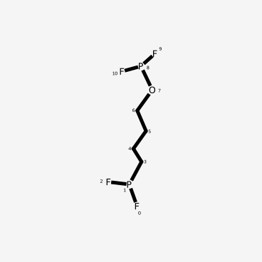 FP(F)CCCCOP(F)F